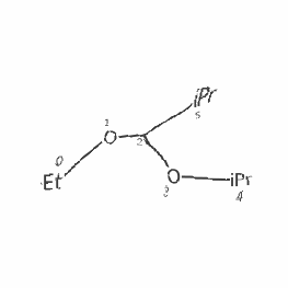 C[CH]OC(OC(C)C)C(C)C